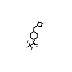 O=C(N1CCC(CC2CNC2)CC1)C(F)(F)F